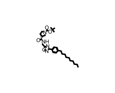 CCCCCCCCCCc1ccc(-c2noc(CNC(=O)[C@H]3CCN(C(=O)OC(C)(C)C)C3)n2)cc1